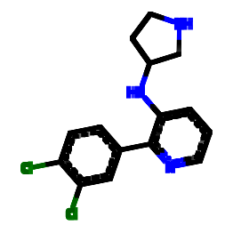 Clc1ccc(-c2ncccc2NC2CCNC2)cc1Cl